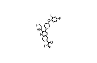 O=C(N(F)F)N1CCc2nc(NCC(F)F)c(N3CCC(Oc4ccc(F)cc4F)CC3)nc2C1